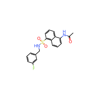 CC(=O)Nc1cccc2c(S(=O)(=O)NCc3cccc(F)c3)cccc12